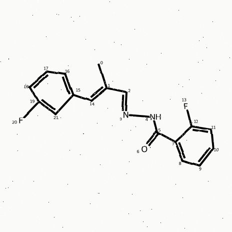 CC(C=NNC(=O)c1ccccc1F)=Cc1cccc(F)c1